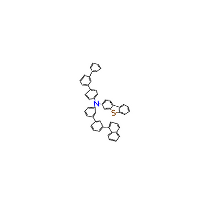 c1ccc(-c2cccc(-c3ccc(N(c4cccc(-c5cccc(-c6cccc7ccccc67)c5)c4)c4ccc5c(c4)sc4ccccc45)cc3)c2)cc1